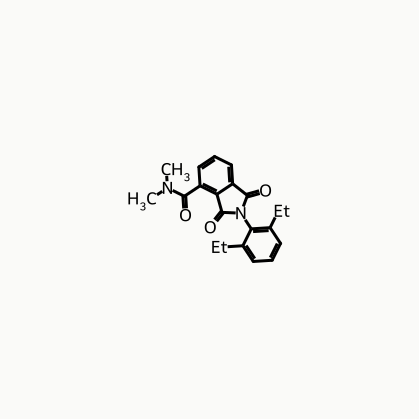 CCc1cccc(CC)c1N1C(=O)c2cccc(C(=O)N(C)C)c2C1=O